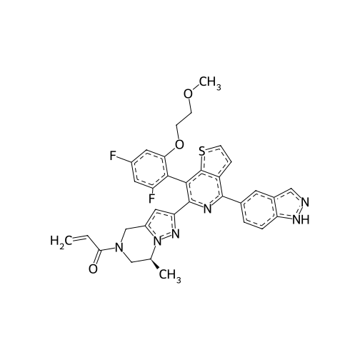 C=CC(=O)N1Cc2cc(-c3nc(-c4ccc5[nH]ncc5c4)c4ccsc4c3-c3c(F)cc(F)cc3OCCOC)nn2[C@@H](C)C1